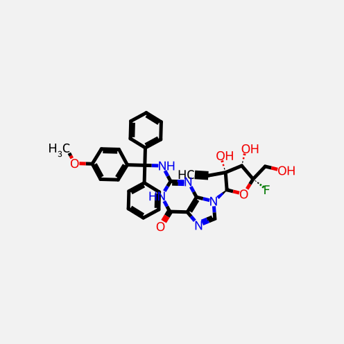 C#C[C@]1(O)[C@H](n2cnc3c(=O)[nH]c(NC(c4ccccc4)(c4ccccc4)c4ccc(OC)cc4)nc32)O[C@](F)(CO)[C@H]1O